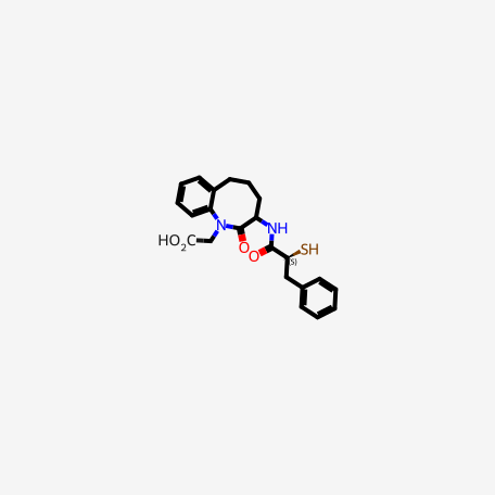 O=C(O)CN1C(=O)C(NC(=O)[C@@H](S)Cc2ccccc2)CCCc2ccccc21